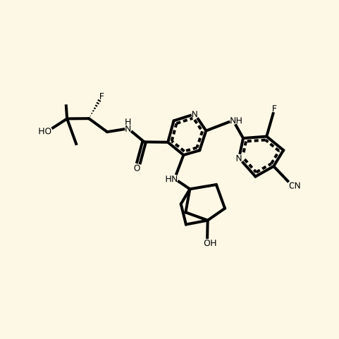 CC(C)(O)[C@H](F)CNC(=O)c1cnc(Nc2ncc(C#N)cc2F)cc1NC12CCC(O)(CC1)C2